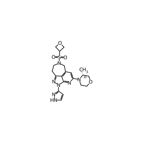 C[C@@H]1COCCN1c1cc2c3c(nn(-c4cc[nH]n4)c3n1)CCN(S(=O)(=O)C1COC1)C2